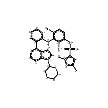 Cc1cc(S(=O)(=O)Nc2ccc(F)c(Nc3ncccc3-c3ncnc4c3ncn4C3CCCCO3)c2F)c(C)o1